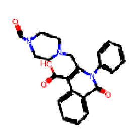 O=CN1CCN(Cc2c(C(=O)O)c3ccccc3c(=O)n2-c2ccccc2)CC1